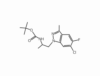 Cc1nn(CC(C)NC(=O)OC(C)(C)C)c2cc(Cl)c(F)cc12